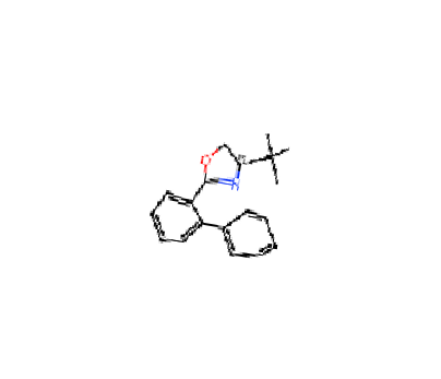 CC(C)(C)[C@@H]1COC(c2ccccc2-c2ccccc2)=N1